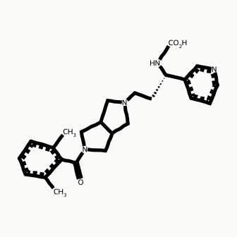 Cc1cccc(C)c1C(=O)N1CC2CN(CC[C@H](NC(=O)O)c3cccnc3)CC2C1